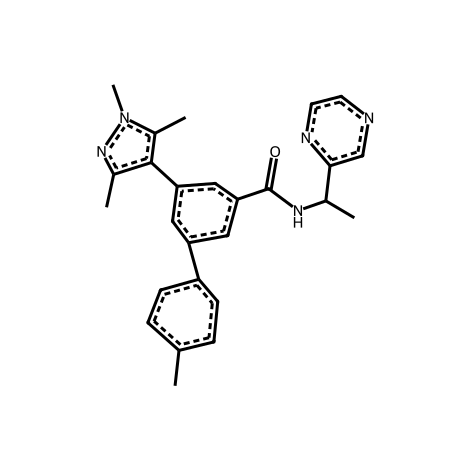 Cc1ccc(-c2cc(C(=O)NC(C)c3cnccn3)cc(-c3c(C)nn(C)c3C)c2)cc1